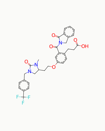 CN1C(=O)N(Cc2ccc(C(F)(F)F)cc2)CC1CCOc1ccc(CCC(=O)O)c(C(=O)N2Cc3ccccc3C2=O)c1